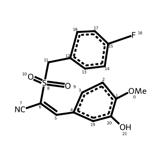 COc1ccc(C=C(C#N)S(=O)(=O)Cc2ccc(F)cc2)cc1O